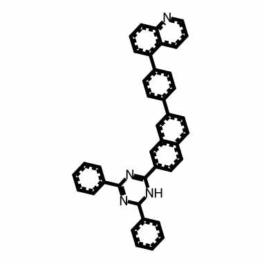 c1ccc(C2=NC(c3ccccc3)NC(c3ccc4ccc(-c5ccc(-c6cccc7ncccc67)cc5)cc4c3)=N2)cc1